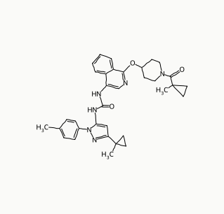 Cc1ccc(-n2nc(C3(C)CC3)cc2NC(=O)Nc2cnc(OC3CCN(C(=O)C4(C)CC4)CC3)c3ccccc23)cc1